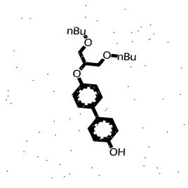 CCCCOCC(COCCCC)Oc1ccc(-c2ccc(O)cc2)cc1